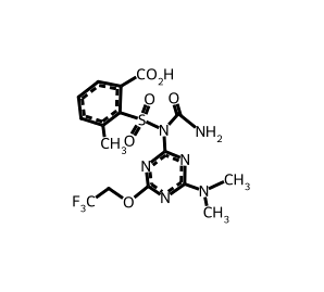 Cc1cccc(C(=O)O)c1S(=O)(=O)N(C(N)=O)c1nc(OCC(F)(F)F)nc(N(C)C)n1